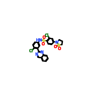 O=S(=O)(Nc1ccc(Cl)c(-c2ncc3ccccc3n2)c1)c1ccc(N2CCCS2(=O)=O)cc1Cl